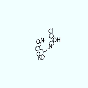 CN(C)C(=O)CC1C=CC=C2Oc3ncccc3C(=CCCN3CCC(O)(c4ccc(Cl)cc4)CC3)C=C21